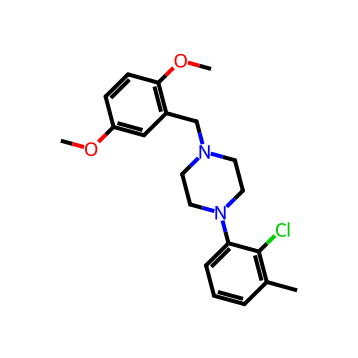 COc1ccc(OC)c(CN2CCN(c3cccc(C)c3Cl)CC2)c1